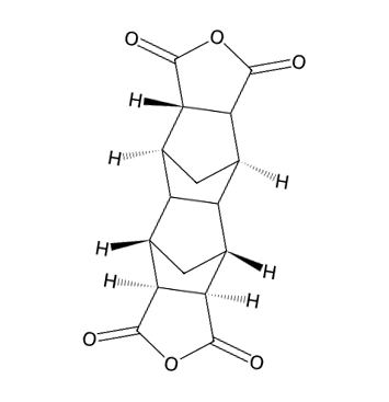 O=C1OC(=O)[C@@H]2C1[C@@H]1C[C@H]2C2C1[C@H]1C[C@@H]2[C@@H]2C(=O)OC(=O)[C@@H]21